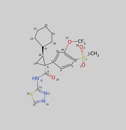 CS(=O)(=O)c1ccc([C@@]2(C(=O)Nc3nncs3)C[C@H]2C2CCCCC2)cc1OC(F)(F)F